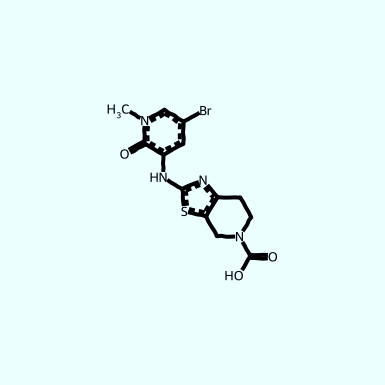 Cn1cc(Br)cc(Nc2nc3c(s2)CN(C(=O)O)CC3)c1=O